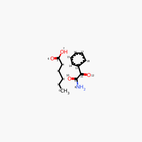 CCCCCC(=O)O.NC(=O)C(=O)c1ccccc1